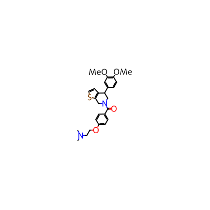 COc1ccc(C2CN(C(=O)c3ccc(OCCN(C)C)cc3)Cc3sccc32)cc1OC